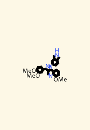 COc1ccc(-c2nn(-c3ccc4c(c3)CNC4)c3c2cnc2c(OC)cccc23)cc1OC